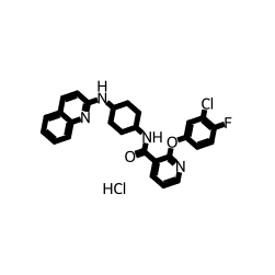 Cl.O=C(NC1CCC(Nc2ccc3ccccc3n2)CC1)c1cccnc1Oc1ccc(F)c(Cl)c1